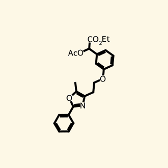 CCOC(=O)C(OC(C)=O)c1cccc(OCCc2nc(-c3ccccc3)oc2C)c1